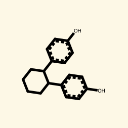 Oc1ccc([C]2CCCCC2c2ccc(O)cc2)cc1